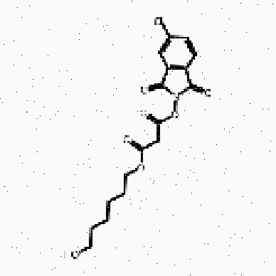 O=C(CC(=O)ON1C(=O)c2ccc(Cl)cc2C1=O)OCCCCCCO